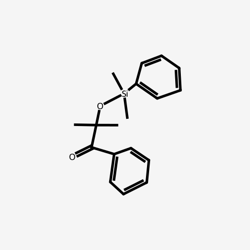 CC(C)(O[Si](C)(C)c1ccccc1)C(=O)c1ccccc1